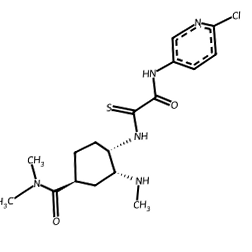 CN[C@@H]1C[C@@H](C(=O)N(C)C)CC[C@@H]1NC(=S)C(=O)Nc1ccc(Cl)nc1